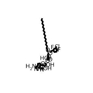 CCCCCCCCCCCCCCCCCCOC[C@H](COP(=O)(O)OC[C@H]1O[C@@](C#N)(c2ccc3c(N)ncnn23)[C@H](O)[C@@H]1O)OCc1ccc(F)c(Cl)c1F